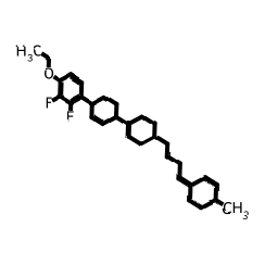 CCOc1ccc(C2C=CC(C3CCC(CCCCC4CCC(C)CC4)CC3)CC2)c(F)c1F